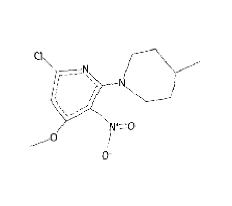 COc1cc(Cl)nc(N2CCC(C)CC2)c1[N+](=O)[O-]